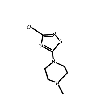 CN1CCN(c2nc(Cl)ns2)CC1